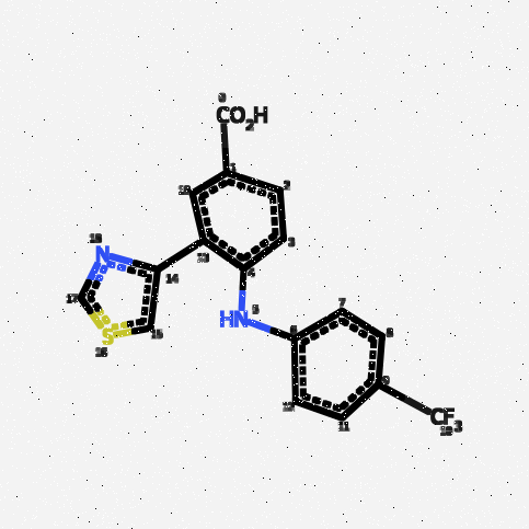 O=C(O)c1ccc(Nc2ccc(C(F)(F)F)cc2)c(-c2cscn2)c1